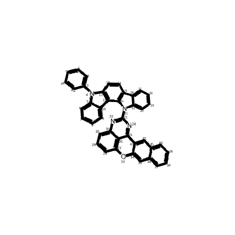 c1ccc(-n2c3ccccc3c3c2ccc2c4ccccc4n(-c4nc5c6c(cccc6n4)Oc4cc6ccccc6cc4-5)c23)cc1